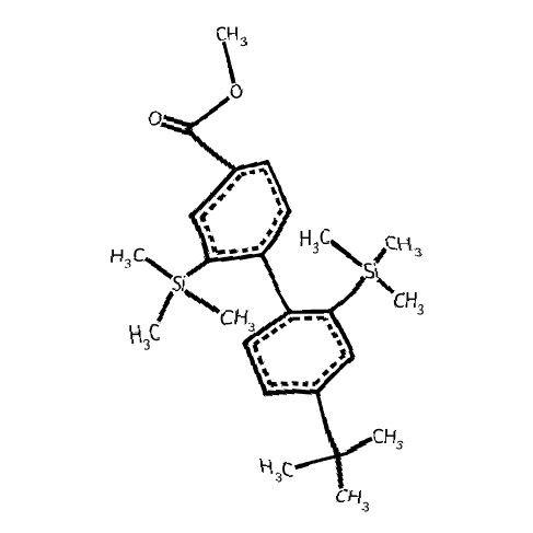 COC(=O)c1ccc(-c2ccc(C(C)(C)C)cc2[Si](C)(C)C)c([Si](C)(C)C)c1